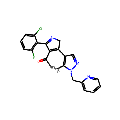 CCCC(=O)C1=C(c2cnn(Cc3ccccn3)c2C(F)(F)F)CN=C1c1c(F)cccc1Cl